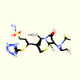 CC(=S)N(CC(F)(F)F)C1C(=O)N2C(C(=O)O)=C(C(CCS(N)(=O)=O)Sc3nnn[nH]3)CS[C@@H]12